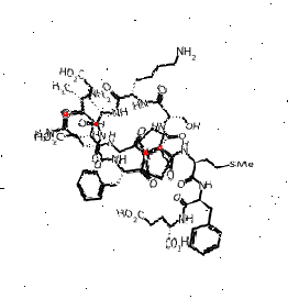 CSCC[C@H](NC(=O)[C@@H]1CCCN1C(=O)[C@H](Cc1ccccc1)NC(=O)[C@H](CCC(=O)O)NC(=O)[C@H](CCC(=O)O)NC(=O)[C@H](CCCCN)NC(=O)[C@H](CO)NC(=O)[C@@H]1CCCN1C(=O)CNC(=O)[C@H](CC(N)=O)NC(=O)[C@H](C)N)C(=O)N[C@@H](Cc1ccccc1)C(=O)N[C@@H](CCC(=O)O)C(=O)O